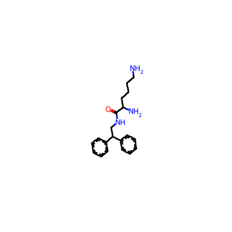 NCCCCC(N)C(=O)NCC(c1ccccc1)c1ccccc1